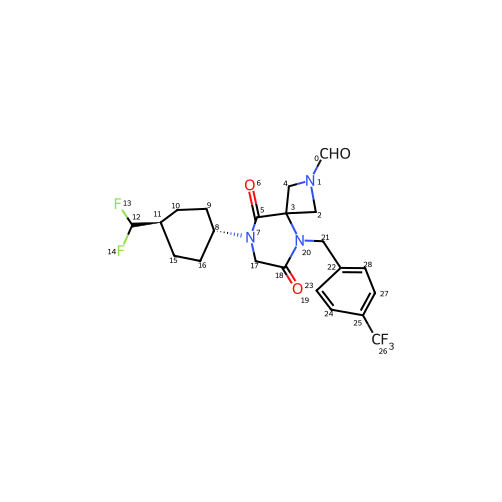 O=CN1CC2(C1)C(=O)N([C@H]1CC[C@H](C(F)F)CC1)CC(=O)N2Cc1ccc(C(F)(F)F)cc1